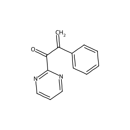 C=C(C(=O)c1ncccn1)c1ccccc1